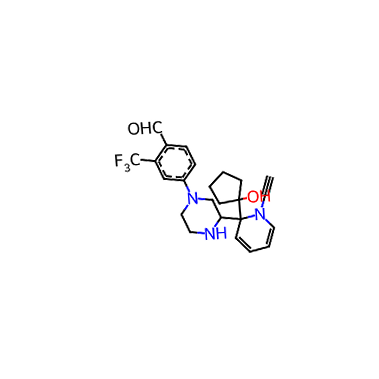 C#CN1C=CC=CC1(C1CN(c2ccc(C=O)c(C(F)(F)F)c2)CCN1)C1(O)CCCC1